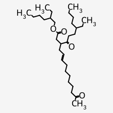 CCCCC(CC)CCC(=O)C(C/C=C/CCCCCCC(C)=O)CC(=O)OCC(CC)CCCC